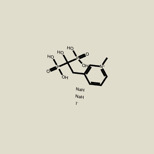 C[n+]1cccc(CC(O)(P(=O)(O)O)P(=O)(O)O)c1.[I-].[NaH].[NaH]